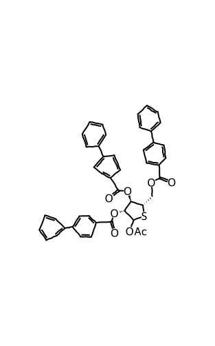 CC(=O)OC1S[C@@H](COC(=O)c2ccc(-c3ccccc3)cc2)[C@H](OC(=O)c2ccc(-c3ccccc3)cc2)[C@H]1OC(=O)c1ccc(-c2ccccc2)cc1